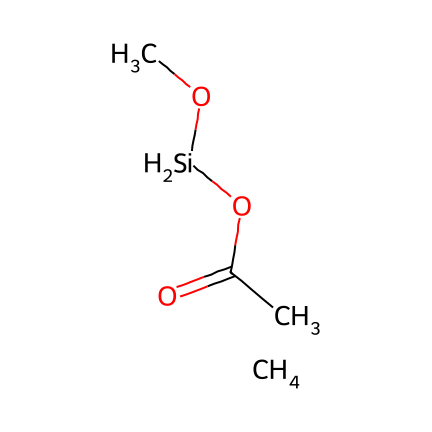 C.CO[SiH2]OC(C)=O